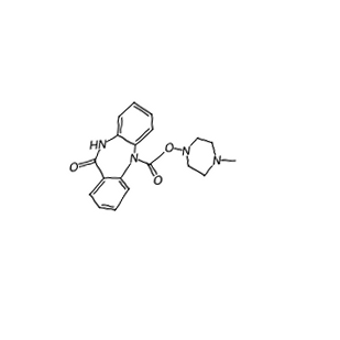 CN1CCN(OC(=O)N2c3ccccc3NC(=O)c3ccccc32)CC1